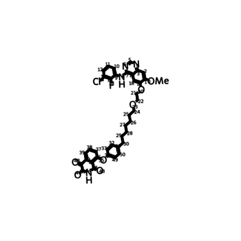 COc1cc2ncnc(Nc3cccc(Cl)c3F)c2cc1OCCOCCCCCCCc1ccc(Oc2cccc3c2C(=O)NC(=O)C3=O)cc1